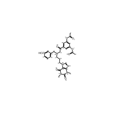 CC(=O)Oc1cc(OC(C)=O)cc(C(=O)CN(CCCn2cnc3c2c(=O)n(C)c(=O)n3C)Cc2ccccc2)c1.Cl